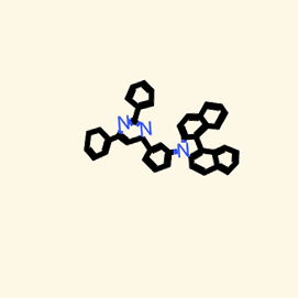 C1=CCCC(c2cc(-c3cccc(-n4c5ccc6ccccc6c5c5c6ccccc6ccc54)c3)nc(-c3ccccc3)n2)=C1